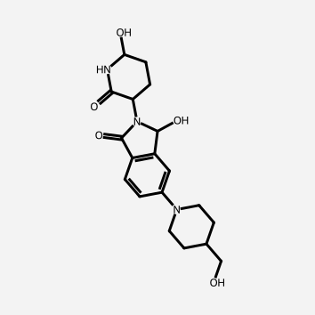 O=C1NC(O)CCC1N1C(=O)c2ccc(N3CCC(CO)CC3)cc2C1O